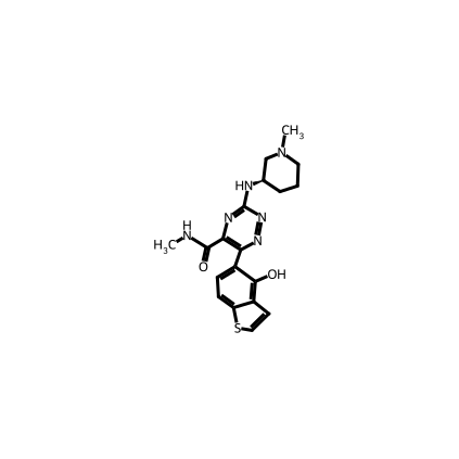 CNC(=O)c1nc(N[C@@H]2CCCN(C)C2)nnc1-c1ccc2sccc2c1O